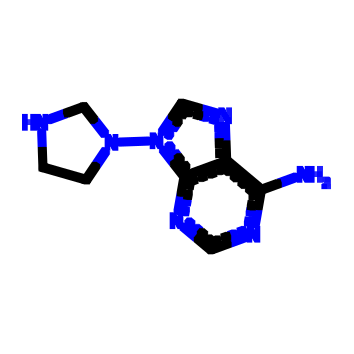 Nc1ncnc2c1ncn2N1CCNC1